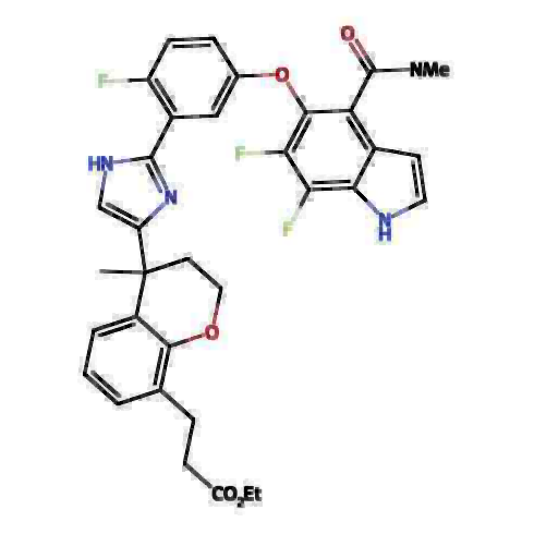 CCOC(=O)CCc1cccc2c1OCCC2(C)c1c[nH]c(-c2cc(Oc3c(F)c(F)c4[nH]ccc4c3C(=O)NC)ccc2F)n1